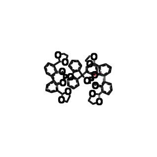 c1ccc(C(Op2oc3c(C4OCCO4)cccc3c3cccc(C4OCCO4)c3o2)(c2ccccc2)c2ccccc2Op2oc3c(C4OCCO4)cccc3c3cccc(C4OCCO4)c3o2)cc1